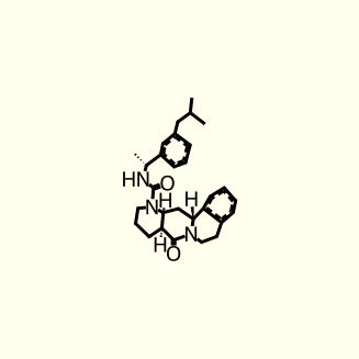 CC(C)Cc1cccc([C@@H](C)NC(=O)N2CCC[C@@H]3C(=O)N4CCc5ccccc5[C@H]4C[C@@H]32)c1